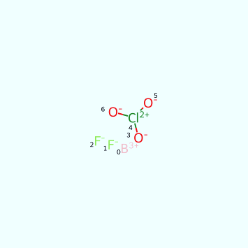 [B+3].[F-].[F-].[O-][Cl+2]([O-])[O-]